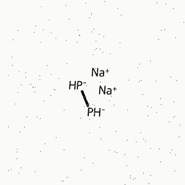 [Na+].[Na+].[PH-][PH-]